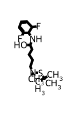 CN(CCCCC(O)NC1C(F)=CC=CC1F)SC(C)(C)C